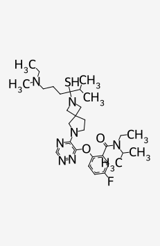 CCN(C)CCCC(S)(C(C)C)N1CC2(CCN(c3ncnnc3Oc3ccc(F)cc3C(=O)N(CC)C(C)C)C2)C1